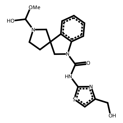 COC(O)N1CCC2(CN(C(=O)Nc3nc(CO)cs3)c3ccccc32)C1